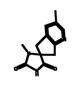 Cc1cnc2c(c1)CC1(C2)C(=O)NC(=O)N1C